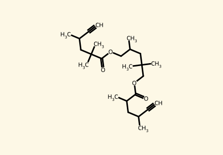 C#CC(C)CC(C)C(=O)OCC(C)(C)CC(C)COC(=O)C(C)(C)CC(C)C#C